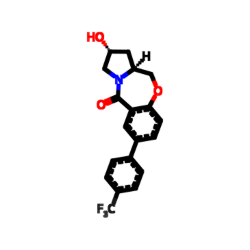 O=C1c2cc(-c3ccc(C(F)(F)F)cc3)ccc2OC[C@@H]2C[C@@H](O)CN12